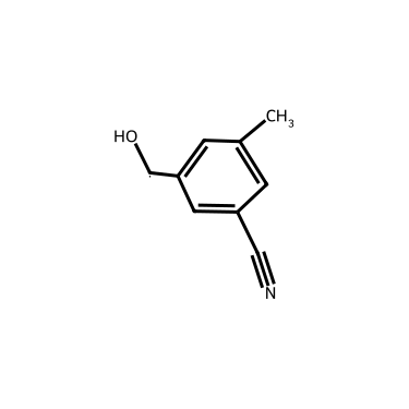 Cc1cc(C#N)cc([CH]O)c1